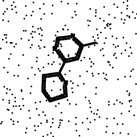 Cc1cc(-c2ccccn2)ncn1